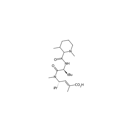 C/C(=C\[C@H](C(C)C)N(C)C(=O)[C@@H](NC(=O)C1C(C)CCCN1C)C(C)(C)C)C(=O)O